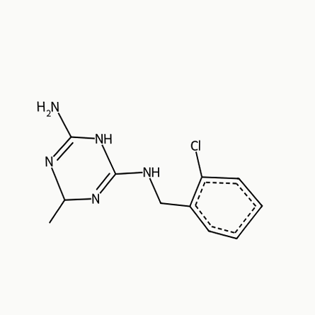 CC1N=C(N)NC(NCc2ccccc2Cl)=N1